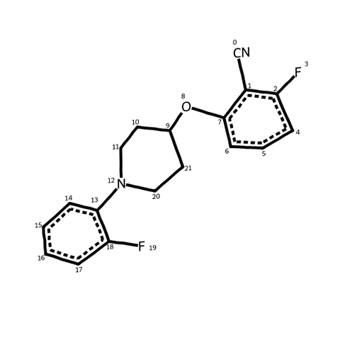 N#Cc1c(F)cccc1OC1CCN(c2ccccc2F)CC1